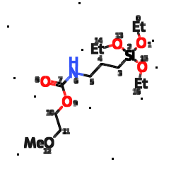 CCO[Si](CCCNC(=O)OCCOC)(OCC)OCC